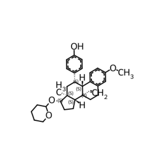 C=C[C@@]12CCc3cc(OC)ccc3[C@H]1[C@@H](c1ccc(O)cc1)C[C@]1(C)[C@@H](OC3CCCCO3)CC[C@H]12